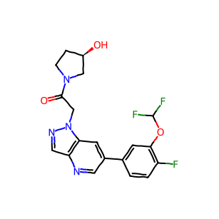 O=C(Cn1ncc2ncc(-c3ccc(F)c(OC(F)F)c3)cc21)N1CC[C@@H](O)C1